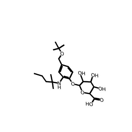 CCCC(C)(C)Nc1cc(COC(C)(C)C)ccc1OC1OC(C(=O)O)C(O)C(O)C1O